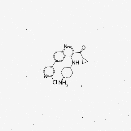 N[C@H]1CC[C@H](Nc2c(C(=O)C3CC3)cnc3ccc(-c4ccnc(Cl)c4)cc23)CC1